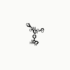 O=C(NC1C2COCC21)c1cc(N2CCC(c3n[nH]c4ncccc34)CC2)nc(OCC2CCCO2)n1